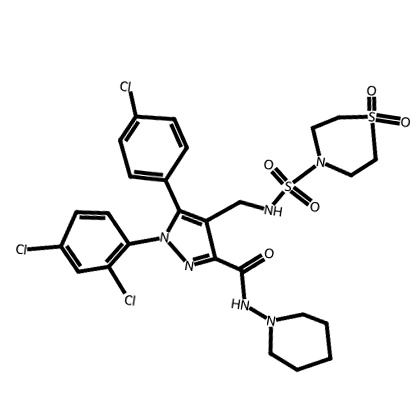 O=C(NN1CCCCC1)c1nn(-c2ccc(Cl)cc2Cl)c(-c2ccc(Cl)cc2)c1CNS(=O)(=O)N1CCS(=O)(=O)CC1